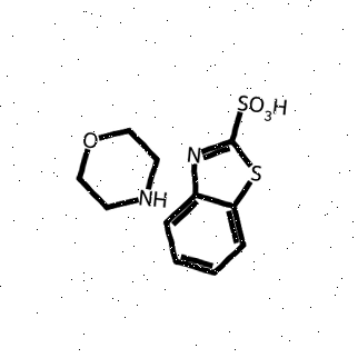 C1COCCN1.O=S(=O)(O)c1nc2ccccc2s1